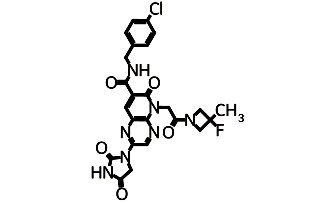 CC1(F)CN(C(=O)Cn2c(=O)c(C(=O)NCc3ccc(Cl)cc3)cc3nc(N4CC(=O)NC4=O)cnc32)C1